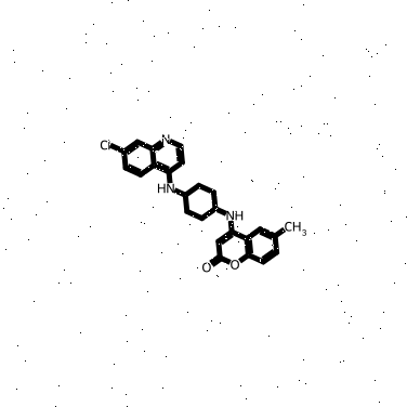 Cc1ccc2oc(=O)cc(NC3CCC(Nc4ccnc5cc(Cl)ccc45)CC3)c2c1